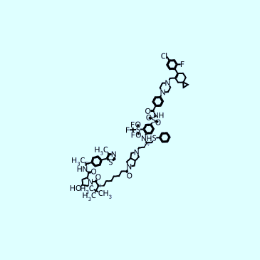 Cc1ncsc1-c1ccc([C@H](C)NC(=O)C2CC(O)CN2C(=O)[C@@H](CCCCCCC(=O)N2CC3CN(CC[C@H](CSc4ccccc4)Nc4ccc(S(=O)(=O)NC(=O)c5ccc(N6CCN(CC7=C(c8ccc(Cl)cc8F)CCC8(CC8)C7)CC6)cc5)cc4S(=O)(=O)C(F)(F)F)CC3C2)C(C)(C)C)cc1